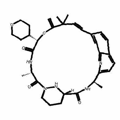 C=C1O[C@@H](C2CCOCC2)C(=O)N[C@@H](C)C(=O)N2CCC[C@H](N2)C(=O)N[C@H](C)c2ccc3ccc(cc3n2)/C=C/C1(C)C